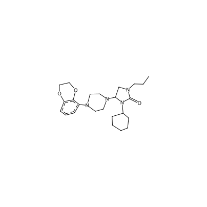 CCCN1CC(N2CCN(c3cccc4c3OCCO4)CC2)N(C2CCCCC2)C1=O